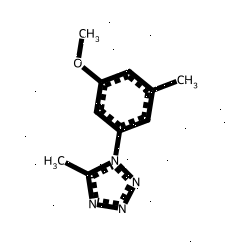 COc1cc(C)cc(-n2nnnc2C)c1